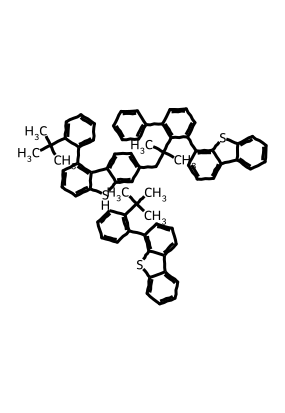 CC(C)(C)c1ccccc1-c1cccc2c1-c1ccc(CC(C)(C)c3c(-c4ccccc4)cccc3-c3cccc4c3sc3ccccc34)cc1[SH]2c1cccc(-c2cccc3c2sc2ccccc23)c1C(C)(C)C